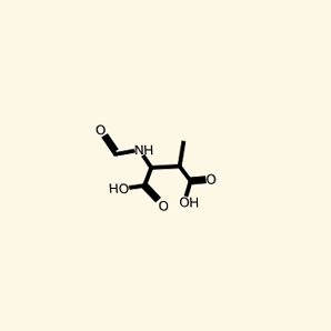 CC(C(=O)O)C(NC=O)C(=O)O